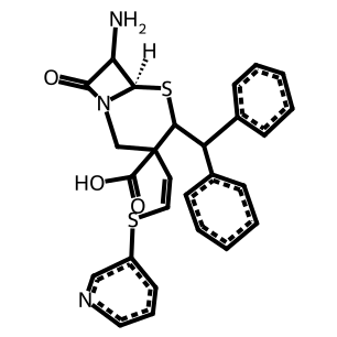 NC1C(=O)N2CC(C=CSc3cccnc3)(C(=O)O)C(C(c3ccccc3)c3ccccc3)S[C@H]12